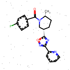 C[C@@H]1CC[C@H](c2nc(-c3ccccn3)no2)CN1C(=O)c1ccc(F)cc1